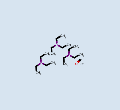 CCP(CC)CC.CCP(CC)CC.CCP(CC)CC.[C]=O.[Pt]